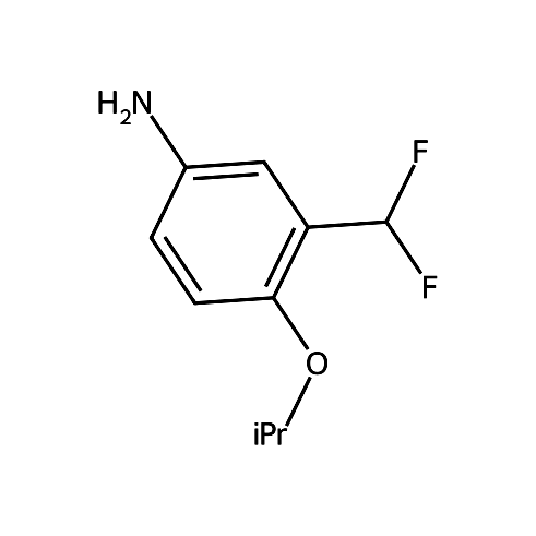 CC(C)Oc1ccc(N)cc1C(F)F